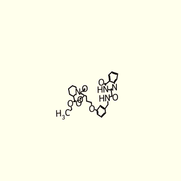 CCOC(=O)C1CCCCN1S(=O)(=O)CCCOc1cccc(CNC(=O)c2nc3ccccc3c(=O)[nH]2)c1